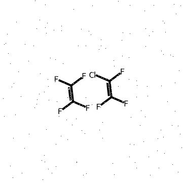 FC(F)=C(F)Cl.FC(F)=C(F)F